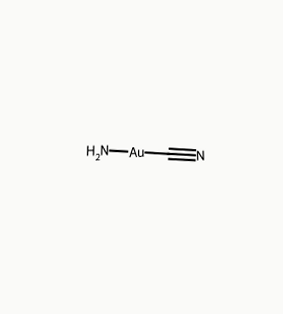 N#[C][Au][NH2]